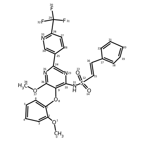 COc1ccccc1Oc1c(NS(=O)(=O)C=Cc2ccccc2)nc(-c2ccc(C(F)(F)F)nc2)nc1OC